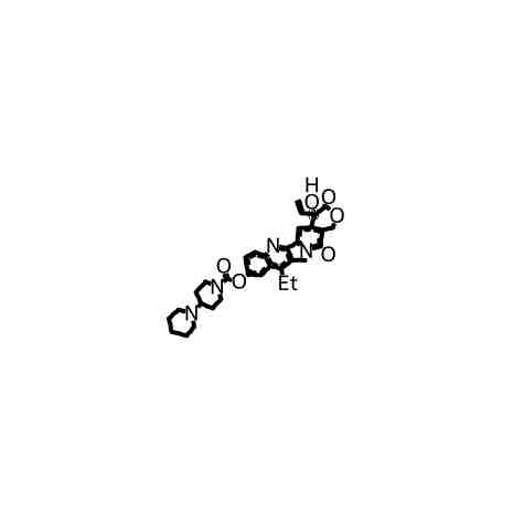 C=C[C@@]1(O)C(=O)OCc2c1cc1n(c2=O)Cc2c-1nc1ccc(OC(=O)N3CCC(N4CCCCC4)CC3)cc1c2CC